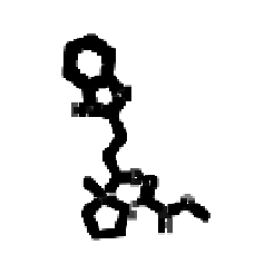 CONC(=O)[C@@H]1CCC[N+]1(C)C(=O)CCc1nc2ccccc2[nH]1